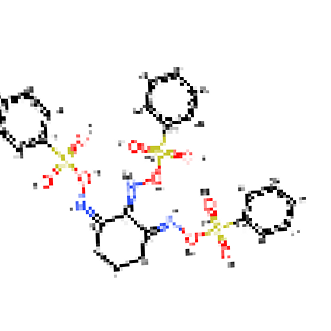 O=S(=O)(ON=C1CCCC(=NOS(=O)(=O)c2ccccc2)C1=NOS(=O)(=O)c1ccccc1)c1ccccc1